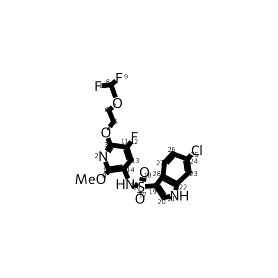 COc1nc(OCCOC(F)F)c(F)cc1NS(=O)(=O)c1c[nH]c2cc(Cl)ccc12